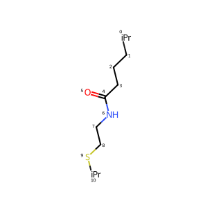 CC(C)CCCC(=O)NCCSC(C)C